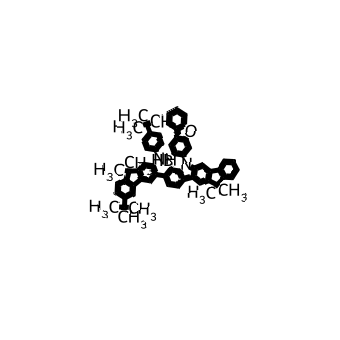 CC(C)(C)c1ccc(Nc2cc3c(cc2-c2ccc4c5cc6c(cc5n5c4c2Bc2cc4c(cc2-5)oc2ccccc24)-c2ccccc2C6(C)C)-c2cc(C(C)(C)C)ccc2C3(C)C)cc1